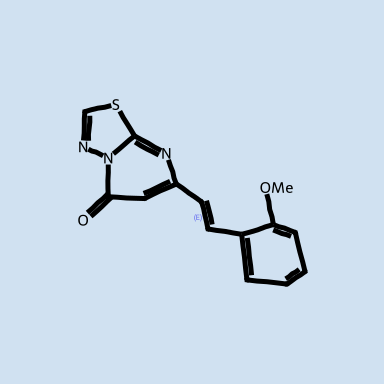 COc1ccccc1/C=C/c1cc(=O)n2ncsc2n1